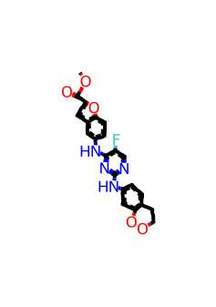 COC(=O)c1cc2cc(Nc3nc(Nc4ccc5c(c4)OOCC5)ncc3F)ccc2o1